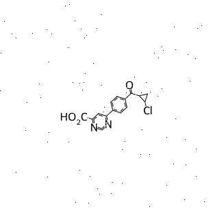 O=C(O)c1cc(-c2ccc(C(=O)C3CC3Cl)cc2)ncn1